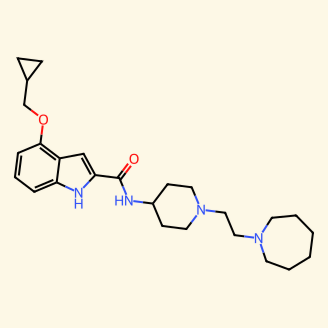 O=C(NC1CCN(CCN2CCCCCC2)CC1)c1cc2c(OCC3CC3)cccc2[nH]1